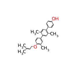 CC(C)=CCOc1ccc(-c2cc(C)c(-c3ccc(O)cc3)cc2C)cc1C